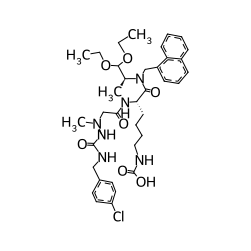 CCOC(OCC)[C@H](C)N(Cc1cccc2ccccc12)C(=O)[C@H](CCCCNC(=O)O)NC(=O)CN(C)NC(=O)NCc1ccc(Cl)cc1